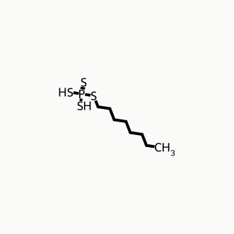 CCCCCCCCSP(=S)(S)S